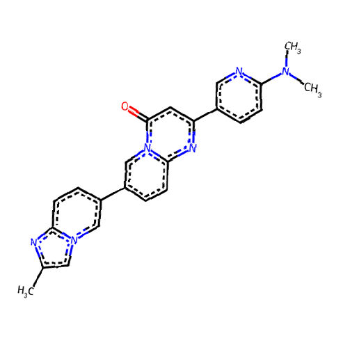 Cc1cn2cc(-c3ccc4nc(-c5ccc(N(C)C)nc5)cc(=O)n4c3)ccc2n1